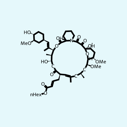 CCCCCCOC(=O)/C=C/C[C@@H]1/C=C(\C)C[C@H](C)C[C@H](OC)[C@H]2O[C@@](O)(C(=O)C(=O)N3CCCC[C@H]3C(=O)O[C@H](/C(C)=C/[C@@H]3CC[C@@H](O)[C@H](OC)C3)[C@H](C)[C@@H](O)CC1=O)[C@H](C)C[C@@H]2OC